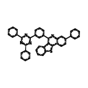 c1ccc(-c2ccc3c(c2)nc(-c2cccc(-c4nc(-c5ccccc5)nc(-c5ccccc5)n4)c2)c2c4ccccc4sc32)cc1